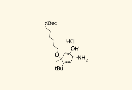 CCCCCCCCCCCCCCCCOC1(C)C=C(O)C(N)C=C1C(C)(C)C.Cl